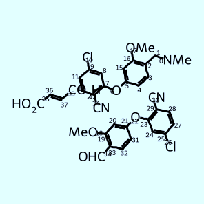 CNCc1ccc(Oc2cc(Cl)ccc2C#N)cc1OC.COc1cc(Oc2cc(Cl)ccc2C#N)ccc1C=O.O=C(O)C=CC(=O)O